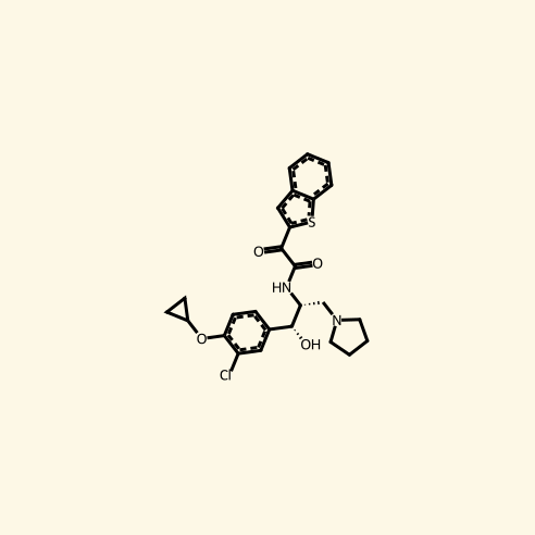 O=C(N[C@H](CN1CCCC1)[C@H](O)c1ccc(OC2CC2)c(Cl)c1)C(=O)c1cc2ccccc2s1